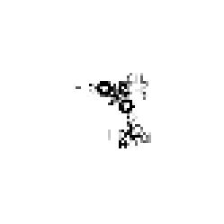 Cc1ccc(N(CC(C)C)S(=O)(=O)c2ccc(OCC3OC(O)[C@H](O)[C@@H]3O)cc2)c(C)c1